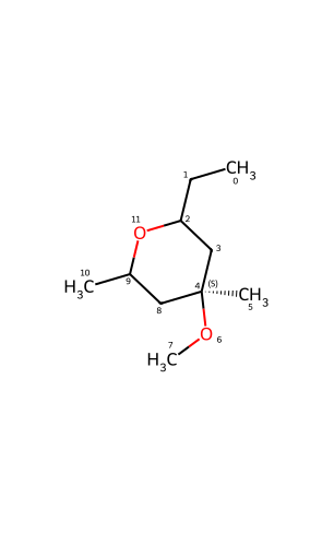 CCC1C[C@@](C)(OC)CC(C)O1